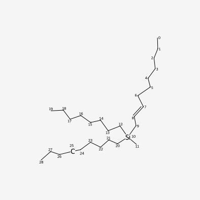 CCCCCCCC=CC[Si](C)(CCCCCCCC)CCCCCCCCC